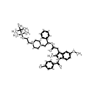 COc1ccc2c(c1)c(CC(=O)OC(CN1CCN(CCO[Si](C)(C)C(C)(C)C)CC1)c1ccccc1)c(C)n2C(=O)c1ccc(Cl)cc1